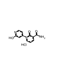 Cl.NC(=O)c1cccn(-c2ccnc(O)c2)c1=O